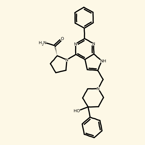 NC(=O)[C@H]1CCCN1c1nc(-c2ccccc2)nc2[nH]c(CN3CCC(O)(c4ccccc4)CC3)cc12